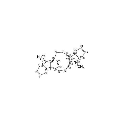 Cn1c2ccccc2c2c3ccc(c21)CCc1ccc(c2c1c1ccccc1n2C)CC3